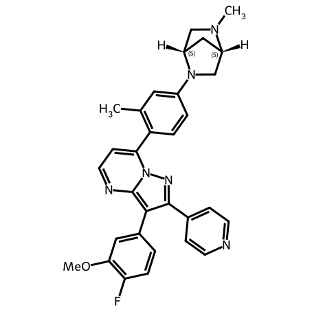 COc1cc(-c2c(-c3ccncc3)nn3c(-c4ccc(N5C[C@@H]6C[C@H]5CN6C)cc4C)ccnc23)ccc1F